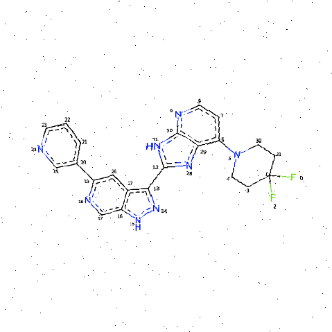 FC1(F)CCN(c2ccnc3[nH]c(-c4n[nH]c5cnc(-c6cccnc6)cc45)nc23)CC1